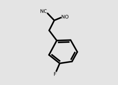 N#CC(Cc1cccc(F)c1)N=O